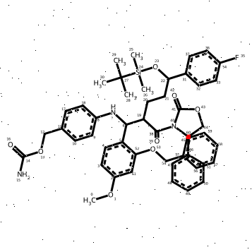 COc1ccc(C(Nc2ccc(COC(N)=O)cc2)C(CCC(O[Si](C)(C)C(C)(C)C)c2ccc(F)cc2)C(=O)N2C(=O)OCC2c2ccccc2)c(OCc2ccccc2)c1